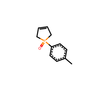 Cc1ccc(P2(=O)CC=CC2)cc1